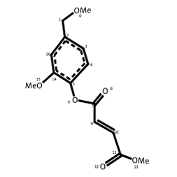 COCc1ccc(OC(=O)/C=C/C(=O)OC)c(OC)c1